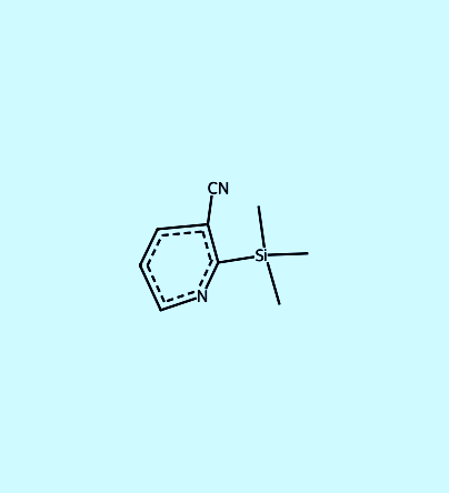 C[Si](C)(C)c1ncccc1C#N